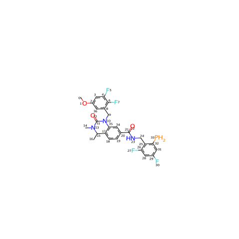 COc1cc(F)c(F)c(CN2C(=O)N(C)C(C)c3ccc(C(=O)NCc4c(F)cc(F)cc4P)cc32)c1